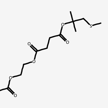 C=CC(=O)OCCOC(=O)CCC(=O)OC(C)(C)CSC